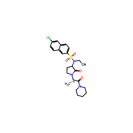 C[C@@H](C(=O)N1CCCCC1)N1CCC(N(CC#N)S(=O)(=O)c2ccc3cc(Cl)ccc3c2)C1=O